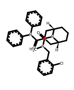 CN(Cc1ccccc1Cl)C(=O)N1[C@@H]2CCC[C@H]1CN(C(=O)N(c1ccccc1)c1ccccc1)C2